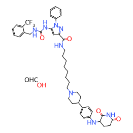 O=C1CCC(Nc2ccc(C3CCN(CCCCCCCCNC(=O)c4cc(NC(=O)NCc5ccccc5C(F)(F)F)n(-c5ccccc5)n4)CC3)cc2)C(=O)N1.O=CO